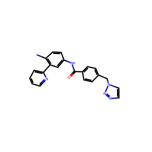 O=C(Nc1ccc(I)c(-c2ccccn2)c1)c1ccc(Cn2ccnn2)cc1